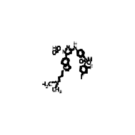 CCN(CC)CCCCn1ccc2cc(-c3cc(Nc4ccc(NS(=O)(=O)c5ccc(F)cc5F)cc4)ncn3)ccc21.O=CO